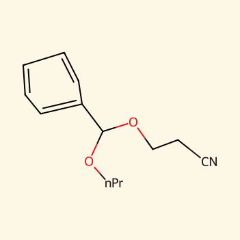 CCCOC(OCCC#N)c1ccccc1